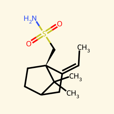 CC=C1CC2CC[C@@]1(CS(N)(=O)=O)C2(C)C